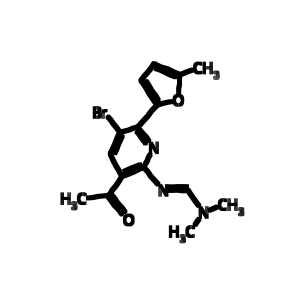 CC(=O)c1cc(Br)c(-c2ccc(C)o2)nc1N=CN(C)C